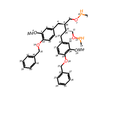 COc1cc(C[C@@H](COPC)[C@H](COPC)Cc2ccc(OCc3ccccc3)c(OC)c2)ccc1OCc1ccccc1